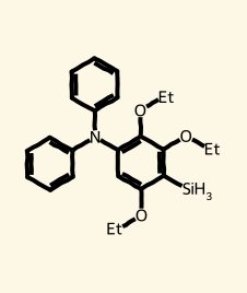 CCOc1cc(N(c2ccccc2)c2ccccc2)c(OCC)c(OCC)c1[SiH3]